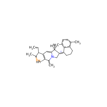 C=CC(C(C)=P)C1=C(CCC)C(=C)N2C/C(=C3\CCCc4c(C)ccc(C)c43)C(=C)C2=C1